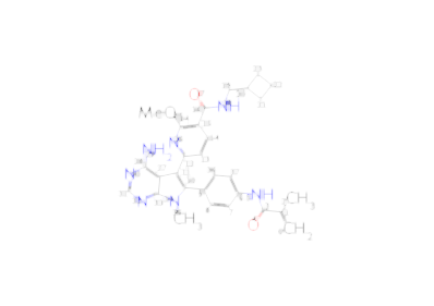 C=C(C)C(=O)Nc1ccc(-c2c(-c3ccc(C(=O)NCC4CCC4)c(OC)n3)c3c(N)ncnc3n2C)cc1